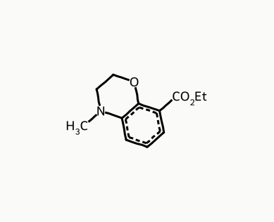 CCOC(=O)c1cccc2c1OCCN2C